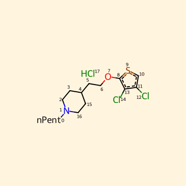 CCCCCN1CCC(CCOc2scc(Cl)c2Cl)CC1.Cl